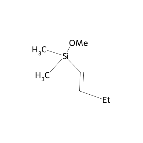 CCC=C[Si](C)(C)OC